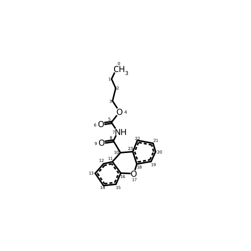 CCCCOC(=O)NC(=O)C1c2ccccc2Oc2ccccc21